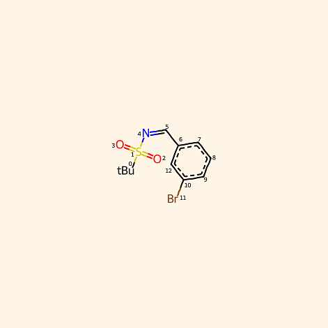 CC(C)(C)S(=O)(=O)/N=C\c1cccc(Br)c1